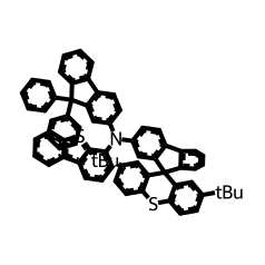 CC(C)(C)c1ccc2c(c1)C1(c3cc(C(C)(C)C)ccc3S2)c2ccccc2-c2ccc(N(c3ccc4c(c3)C(c3ccccc3)(c3ccccc3)c3ccccc3-4)c3cccc4c3sc3ccccc34)cc21